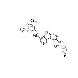 C[C@@H]1CC(CNc2cncc(-c3cc(NC(=O)[C@@H]4CCNC4)ncc3Cl)n2)C[C@H](C)O1